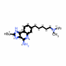 CCCCc1nc2c(N)nc3cc(CCCCCN(C)CCC)ccc3c2[nH]1